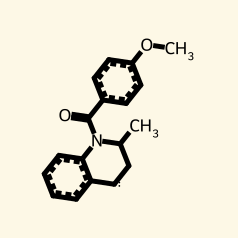 COc1ccc(C(=O)N2c3ccccc3[C]CC2C)cc1